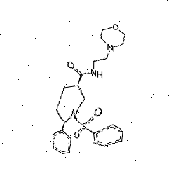 O=C(NCCN1CCOCC1)[C@@H]1CC[C@H](c2ccccc2)N(S(=O)(=O)c2ccccc2)C1